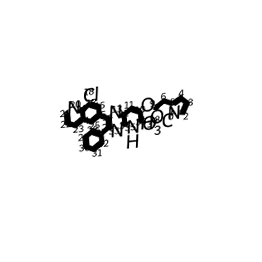 Cn1cccc1CC(=O)Oc1cc2nc(-c3cc(Cl)c4ncccc4c3)c(-c3ccccc3)nc2[nH]c1=O